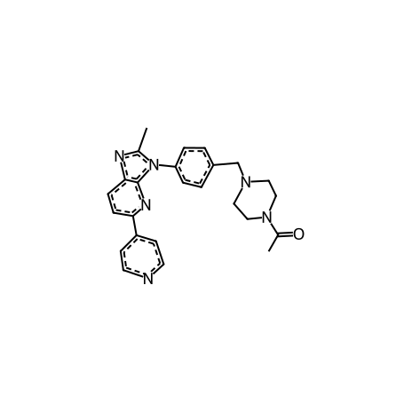 CC(=O)N1CCN(Cc2ccc(-n3c(C)nc4ccc(-c5ccncc5)nc43)cc2)CC1